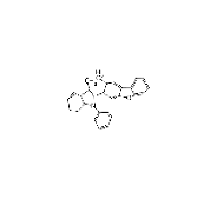 CC1C=c2c(oc3ccccc23)=CC1C1C(C)C2C=CCCC2N1c1ccccc1